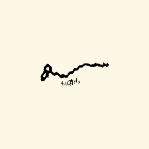 CCCCCCCCCCCCCCCCCCc1cccc2ccccc12.CO.N